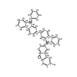 Cc1ccc2oc3ccc(-n4c5ccccc5c5ccc(-c6ccc7c8ccccc8n(-c8ccccc8)c7c6)cc54)cc3c2c1